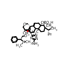 CC(C)[C@@H](C)[C@@]1(C)CC[C@]2(C)C3CC[C@@H]4[C@@]5(COC[C@@]4(C)[C@@H](OC[C@H](c4ccccc4)N(C)C)[C@H](n4nnc(N)n4)C5)C3=CC[C@@]2(C)[C@@H]1C(=O)O